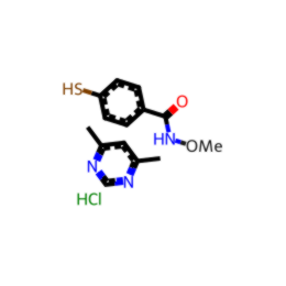 CONC(=O)c1ccc(S)cc1.Cc1cc(C)ncn1.Cl